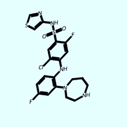 O=S(=O)(Nc1cscn1)c1cc(Cl)c(Nc2ccc(F)cc2N2CCCNCC2)cc1F